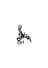 Oc1cccc(-c2nc(OCc3ccncc3)nc(N3CCOCC3)n2)c1